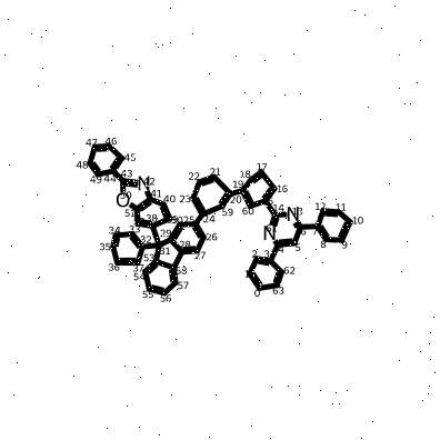 c1ccc(-c2cc(-c3ccccc3)nc(-c3cccc(-c4cccc(-c5ccc6c(c5)C(c5ccccc5)(c5ccc7nc(-c8ccccc8)oc7c5)c5ccccc5-6)c4)c3)n2)cc1